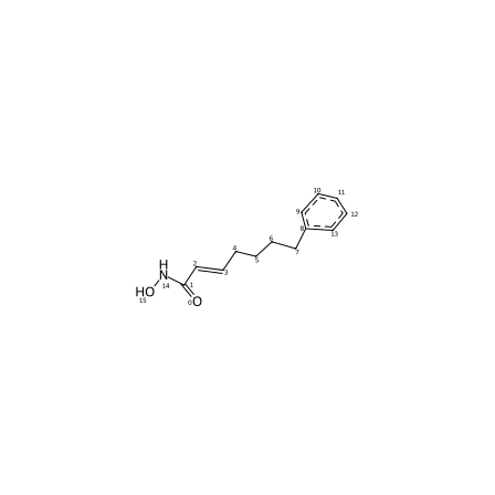 O=C(C=CCCCCc1ccccc1)NO